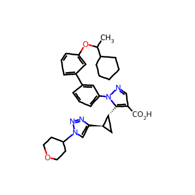 CC(Oc1cccc(-c2cccc(-n3ncc(C(=O)O)c3[C@@H]3C[C@H]3c3cn(C4CCOCC4)nn3)c2)c1)C1CCCCC1